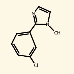 Cn1ccnc1-c1cccc(Cl)c1